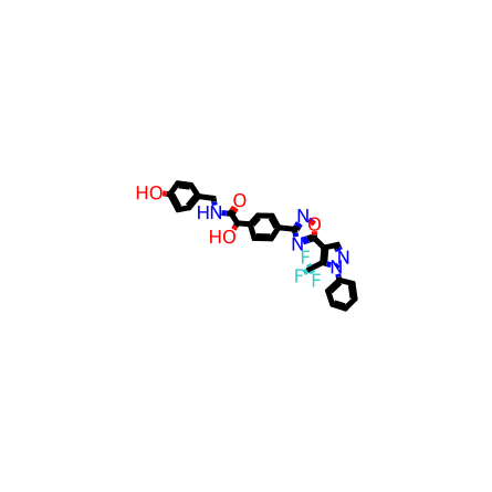 O=C(NCc1ccc(O)cc1)C(O)c1ccc(-c2noc(-c3cnn(-c4ccccc4)c3C(F)(F)F)n2)cc1